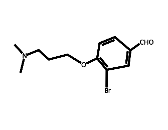 CN(C)CCCOc1ccc(C=O)cc1Br